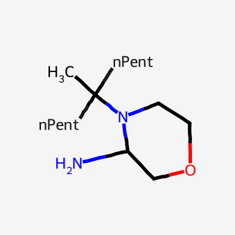 CCCCCC(C)(CCCCC)N1CCOCC1N